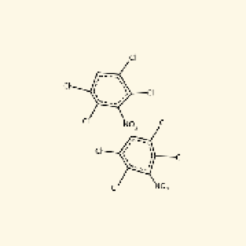 O=[N+]([O-])c1c(Cl)c(Cl)cc(Cl)c1Cl.O=[N+]([O-])c1c(Cl)c(Cl)cc(Cl)c1Cl